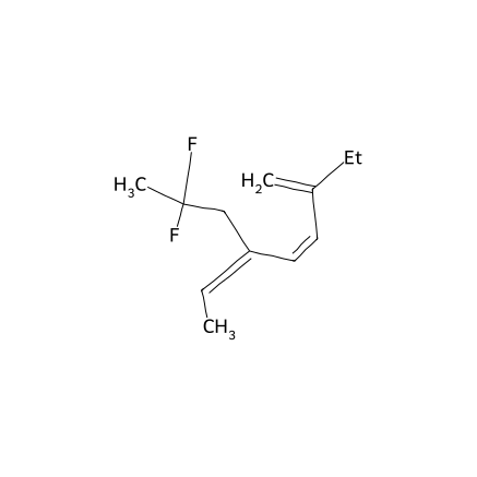 C=C(/C=C\C(=C/C)CC(C)(F)F)CC